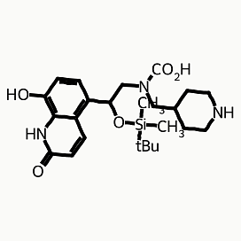 CC(C)(C)[Si](C)(C)OC(CN(CC1CCNCC1)C(=O)O)c1ccc(O)c2[nH]c(=O)ccc12